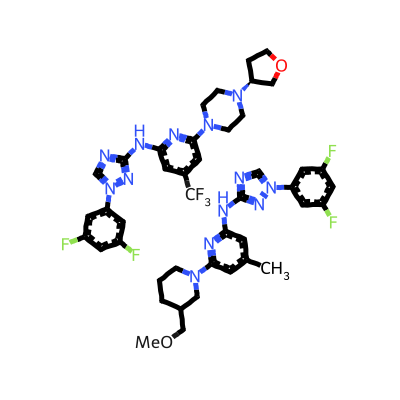 COCC1CCCN(c2cc(C)cc(Nc3ncn(-c4cc(F)cc(F)c4)n3)n2)C1.Fc1cc(F)cc(-n2cnc(Nc3cc(C(F)(F)F)cc(N4CCN([C@H]5CCOC5)CC4)n3)n2)c1